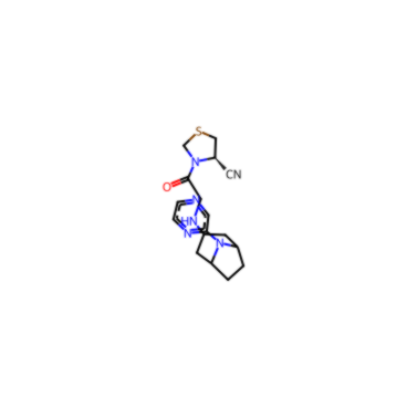 N#C[C@@H]1CSCN1C(=O)CNC1CC2CCC(C1)N2c1cnccn1